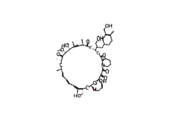 CO[C@H]1C(=O)[C@@H](C)C[C@H](C)/C=C/C=C/C=C(\C)[C@@H](CO)C[C@@H]2CCC[C@@H](C)[C@@](O)(O2)C(=O)C(=O)N2CCCC[C@H]2C(=O)O[C@H](C(CO)CC2CCC(C)[C@H](CO)C2)CC(=O)[C@H](C)/C=C(\C)[C@H]1O